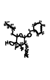 [N-]=[N+]=NCC1OC(OCc2ccccc2)C(N=[N+]=[N-])C(F)(F)C1O